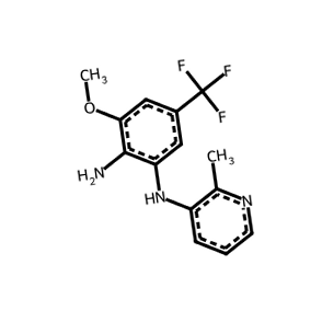 COc1cc(C(F)(F)F)cc(Nc2cccnc2C)c1N